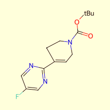 CC(C)(C)OC(=O)N1CC=C(c2ncc(F)cn2)CC1